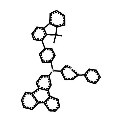 CC1(C)c2ccccc2-c2cccc(-c3ccc(N(c4ccc(-c5ccccc5)cc4)c4ccc5c6ccccc6c6ccccc6c5c4)cc3)c21